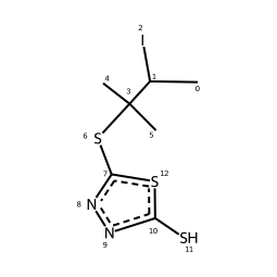 CC(I)C(C)(C)Sc1nnc(S)s1